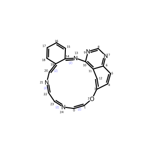 C1=C\Oc2ccc3ncnc(c3c2)/N=c2/cccc/c2=C/N=C\C=N/1